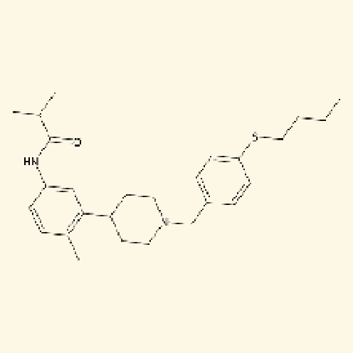 CCCCSc1ccc(CN2CCC(c3cc(NC(=O)C(C)C)ccc3C)CC2)cc1